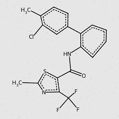 Cc1nc(C(F)(F)F)c(C(=O)Nc2ccccc2-c2ccc(C)c(Cl)c2)s1